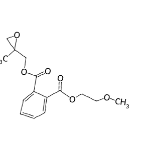 COCCOC(=O)c1ccccc1C(=O)OCC1(C)CO1